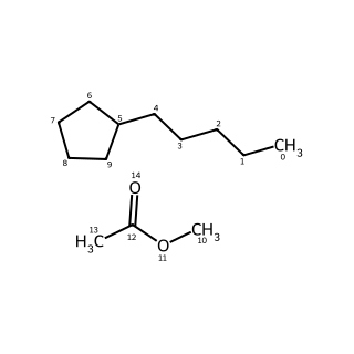 CCCCCC1CCCC1.COC(C)=O